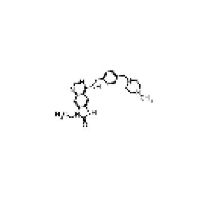 CCn1c(=O)[nH]c2cc3c(NCc4ccc(CN5CCN(C)CC5)cc4)ncnc3cc21